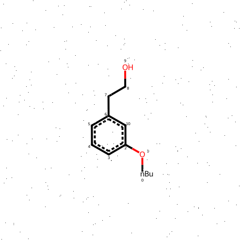 CCCCOc1cccc(CCO)c1